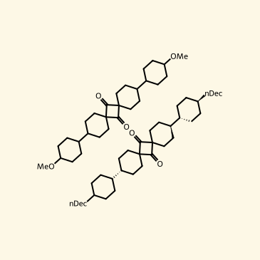 CCCCCCCCCCC1CCC([C@H]2CCC3(CC2)C(=O)C2(CC[C@H]([C@H]4CC[C@H](CCCCCCCCCC)CC4)CC2)C3=O)CC1.COC1CCC(C2CCC3(CC2)C(=O)C2(CCC(C4CCC(OC)CC4)CC2)C3=O)CC1